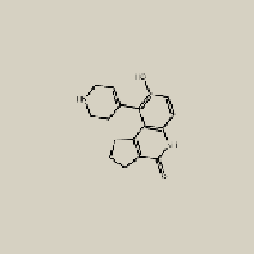 O=c1[nH]c2ccc(O)c(C3=CCNCC3)c2c2c1CCC2